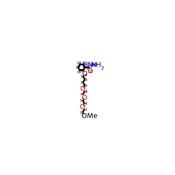 COCCOCCOCCOCCCCOc1ccccc1C(=O)NN